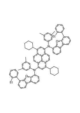 CCc1ccccc1-c1cccc2c1oc1c(N(c3cc(C)cc(C)c3)c3cc(C4CCCCC4)c4ccc5c(N(c6cc(C)cc(C)c6)c6cccc7c6oc6c(-c8ccccc8CC)cccc67)cc(C6CCCCC6)c6ccc3c4c65)cccc12